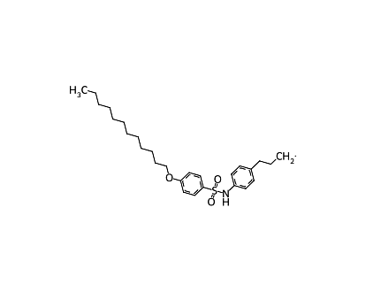 [CH2]CCc1ccc(NS(=O)(=O)c2ccc(OCCCCCCCCCCCC)cc2)cc1